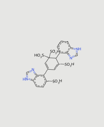 O=S(=O)(O)C1=CC(c2c(S(=O)(=O)O)ccc3[nH]cnc23)=CC(S(=O)(=O)O)(S(=O)(=O)O)C1c1cccc2[nH]cnc12